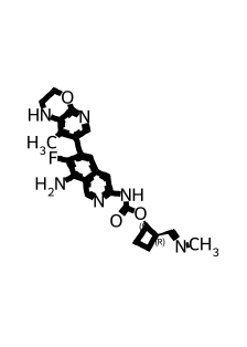 CN=C[C@H]1CC[C@@H]1OC(=O)Nc1cc2cc(-c3cnc4c(c3C)NCCO4)c(F)c(N)c2cn1